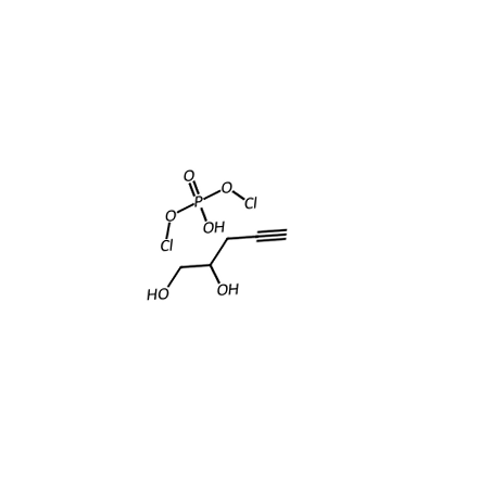 C#CCC(O)CO.O=P(O)(OCl)OCl